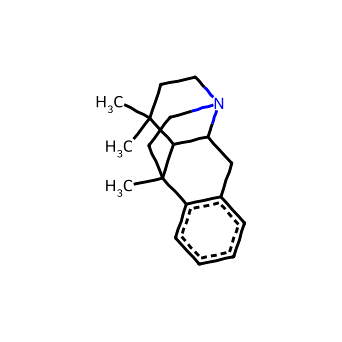 CC1(C)CCN2CCC3(C)c4ccccc4CC2C13